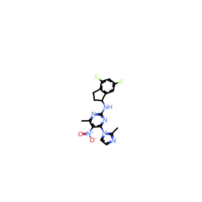 Cc1nc(NC2CCc3c(F)cc(F)cc32)nc(-n2ccnc2C)c1[N+](=O)[O-]